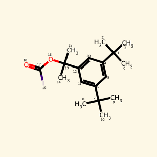 CC(C)(C)c1cc(C(C)(C)C)cc(C(C)(C)OC(=O)I)c1